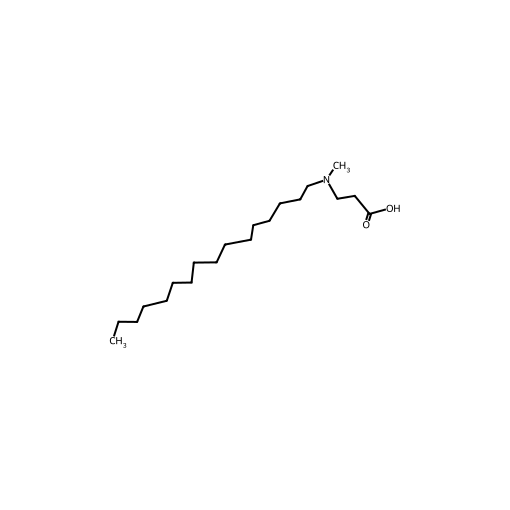 CCCCCCCCCCCCCCCCN(C)CCC(=O)O